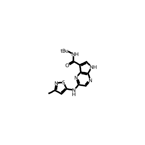 Cc1cc(Nc2cnc3[nH]cc(C(=O)NC(C)(C)C)c3n2)sn1